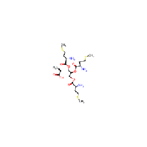 C=CC(=O)O.CSCC[C@H](N)C(=O)OCC(COC(=O)[C@@H](N)CCSC)OC(=O)[C@@H](N)CCSC